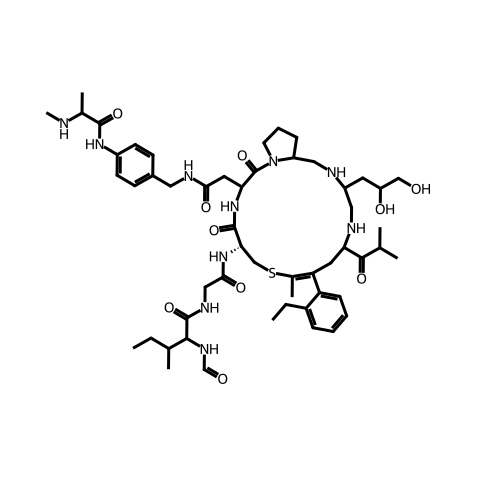 CCc1ccccc1/C1=C(\C)SC[C@H](NC(=O)CNC(=O)C(NC=O)C(C)CC)C(=O)NC(CC(=O)NCc2ccc(NC(=O)C(C)NC)cc2)C(=O)N2CCCC2CNC(CC(O)CO)CNC(C(=O)C(C)C)C1